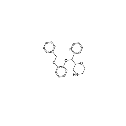 c1ccc(COc2ccccc2OC(c2ccccn2)C2CNCCO2)cc1